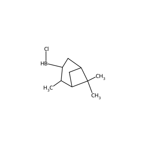 CC1C(BCl)CC2CC1C2(C)C